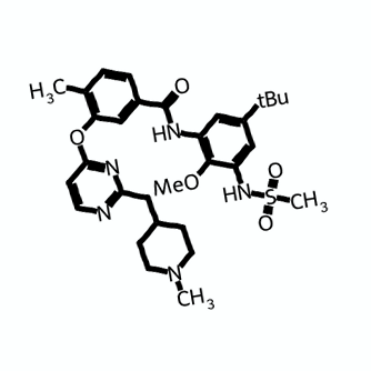 COc1c(NC(=O)c2ccc(C)c(Oc3ccnc(CC4CCN(C)CC4)n3)c2)cc(C(C)(C)C)cc1NS(C)(=O)=O